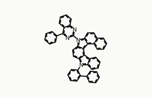 c1ccc(-c2ccccc2-n2c3ccccc3c3c4c5c6ccccc6ccc5n(-c5nc(-c6ccccc6)c6ccccc6n5)c4ccc32)cc1